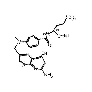 CCO[C@H](CCC(=O)O)NC(=O)c1ccc(N(C)Cc2cnc3nc(N)nc(O)c3n2)cc1